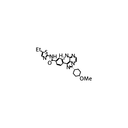 CCc1cnc(NC(=O)c2ccc(-c3nc([C@H]4CC[C@@H](OC)CC4)n4ccnc(N)c34)cc2)s1